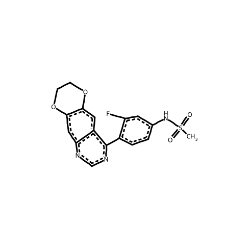 CS(=O)(=O)Nc1ccc(-c2ncnc3cc4c(cc23)OCCO4)c(F)c1